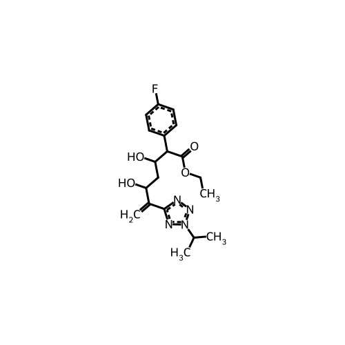 C=C(c1nnn(C(C)C)n1)C(O)CC(O)C(C(=O)OCC)c1ccc(F)cc1